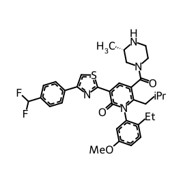 CCc1ccc(OC)cc1-n1c(CC(C)C)c(C(=O)N2CCN[C@@H](C)C2)cc(-c2nc(-c3ccc(C(F)F)cc3)cs2)c1=O